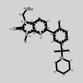 Cc1ccc(C(C)(C)N2CCCCC2)cc1-c1ccc2c(n1)n(C)c(=O)n2CC(C)(C)C